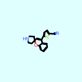 N#Cc1ccc(C2=CC3(CCNCC3)Oc3ccccc32)s1